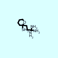 NC(N)(N)CCC1([SiH3])CCCCO1